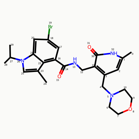 Cc1cc(CN2CCOCC2)c(CNC(=O)c2cc(Br)cc3c2c(C)cn3C(C)C)c(=O)[nH]1